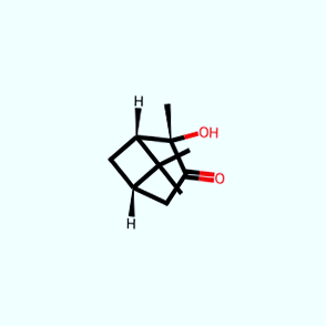 CC1(C)[C@@H]2CC(=O)[C@@](C)(O)[C@H]1C2